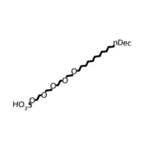 CCCCCCCCCCCCCCCCCCCCCOCCOCCOCCOCCOS(=O)(=O)O